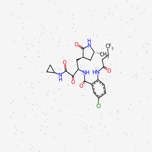 C[C@@H]1C[C@@H](CC(NC(=O)c2cc(Cl)ccc2NC(=O)CCC(F)(F)F)C(=O)C(=O)NC2CC2)C(=O)N1